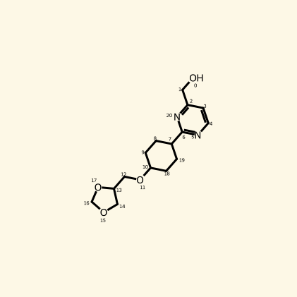 OCc1ccnc(C2CCC(OCC3COCO3)CC2)n1